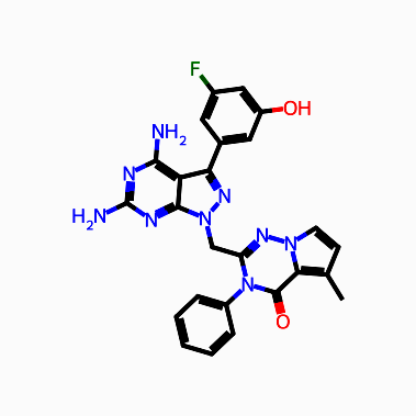 Cc1ccn2nc(Cn3nc(-c4cc(O)cc(F)c4)c4c(N)nc(N)nc43)n(-c3ccccc3)c(=O)c12